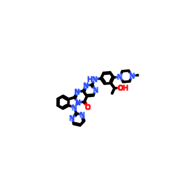 CC(O)c1cc(Nc2ncc3c(=O)n4c(nc3n2)c2ccccc2n4-c2ncccn2)ccc1N1CCN(C)CC1